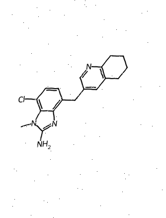 Cn1c(N)nc2c(Cc3cnc4c(c3)CCCC4)ccc(Cl)c21